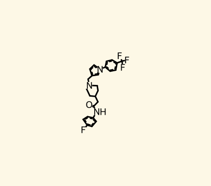 O=C(CC1CCN(Cc2ccn(-c3ccc(C(F)(F)F)cc3)c2)CC1)Nc1ccc(F)cc1